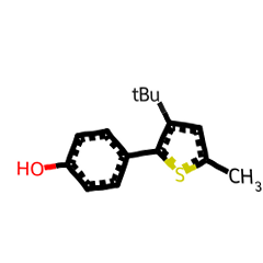 Cc1cc(C(C)(C)C)c(-c2ccc(O)cc2)s1